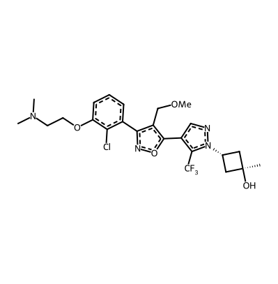 COCc1c(-c2cccc(OCCN(C)C)c2Cl)noc1-c1cnn([C@H]2C[C@](C)(O)C2)c1C(F)(F)F